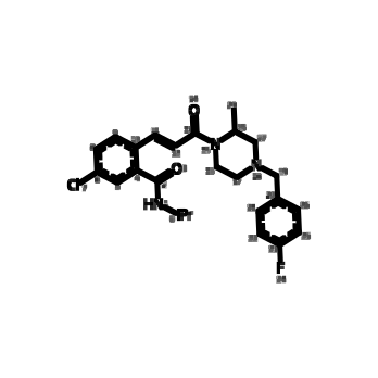 CC(C)NC(=O)c1cc(Cl)ccc1/C=C/C(=O)N1CCN(Cc2ccc(F)cc2)CC1C